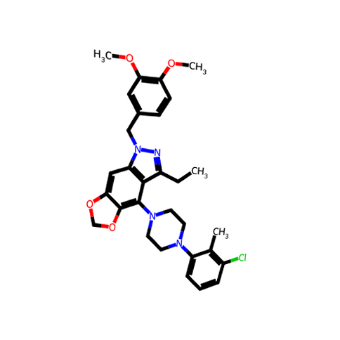 CCc1nn(Cc2ccc(OC)c(OC)c2)c2cc3c(c(N4CCN(c5cccc(Cl)c5C)CC4)c12)OCO3